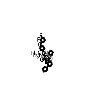 Cc1cc(Oc2cccc(F)c2F)ccc1-n1ncc(C(=O)c2cc3c(-c4ccccc4)cccc3n2S(=O)(=O)c2ccccc2)c1N